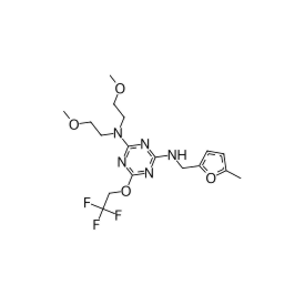 COCCN(CCOC)c1nc(NCc2ccc(C)o2)nc(OCC(F)(F)F)n1